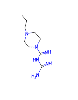 CCCN1CCN(C(=N)NC(=N)N)CC1